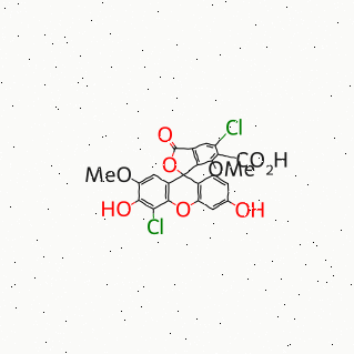 COc1cc2c(c(Cl)c1O)Oc1cc(O)ccc1C21OC(=O)c2cc(Cl)c(C(=O)O)c(OC)c21